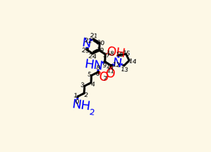 NCCCCCC(=O)NC(C(=O)N1CCCC1)[C@@H](O)c1ccncc1